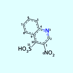 O=[N+]([O-])c1cnc2ccccc2c1S(=O)(=O)O